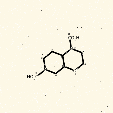 O=C(O)N1CCC2C(C1)OCCN2C(=O)O